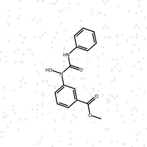 COC(=O)c1cccc(N(O)C(=O)Nc2ccccc2)c1